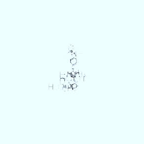 CC1(C)O[C@H]2CN(C[C@@H](O[Si](C)(C)C(C)(C)C)c3ccc4c(c3)CCC(=O)N4)CC[C@@]2(c2cccs2)O1